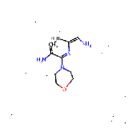 BC(=C/N)/N=C(\C(=C)N)N1CCOCC1